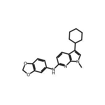 Cn1cc(C2CCCCC2)c2ccc(Nc3ccc4c(c3)OCO4)nc21